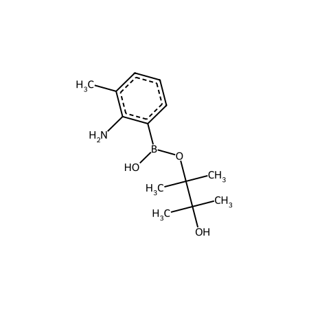 Cc1cccc(B(O)OC(C)(C)C(C)(C)O)c1N